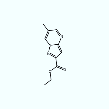 CCOC(=O)c1cc2ncc(C)cn2n1